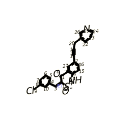 O=C1/C(=C\c2cccc(Cl)c2)[S+]([O-])Nc2ccc(C#CCc3cccnc3)cc21